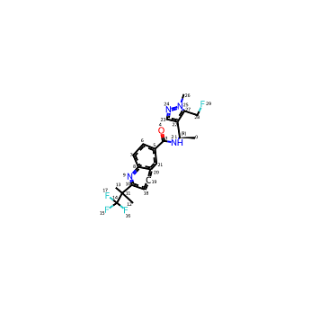 C[C@@H](NC(=O)c1ccc2nc(C(C)(C)C(F)(F)F)ccc2c1)c1cnn(C)c1CF